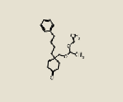 CCOC(C)OCC1(CCCCc2ccccc2)CCC(=O)CC1